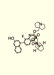 CS(=O)(=O)CC(=O)N1[C@@H]2CC[C@H]1CN(c1nc(OCC34CCCN3CCC4)nc3c(F)c(-c4cc(O)cc5ccccc45)ccc13)C2